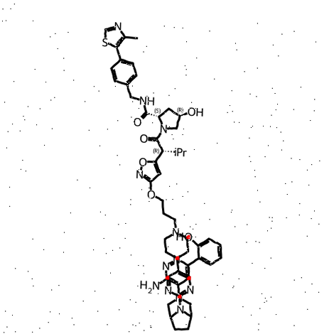 Cc1ncsc1-c1ccc(CNC(=O)[C@@H]2C[C@@H](O)CN2C(=O)[C@@H](c2cc(OCCCN3CCC(c4cnc(N5C6CCC5CN(c5cc(-c7ccccc7O)nnc5N)C6)nc4)CC3)no2)C(C)C)cc1